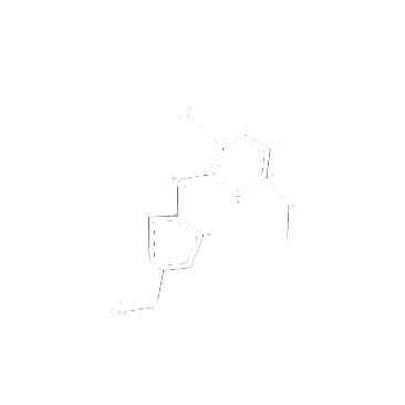 CCCCOc1ccc(Nc2cc(CI)ccc2N)cc1